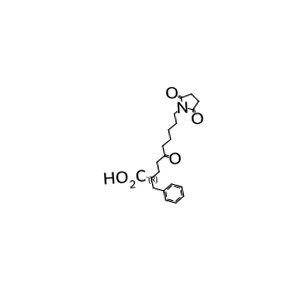 O=C(CCCCCN1C(=O)CCC1=O)CC[C@H](Cc1ccccc1)C(=O)O